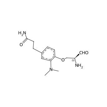 CN(C)c1cc(CCC(N)=O)ccc1OC[C@H](N)C=O